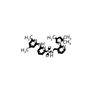 Cc1cc(C)nc(Nc2cccc(S(=O)(=O)NCc3cccnc3N3CC(C)CC3(C)C)n2)c1